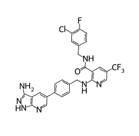 Nc1n[nH]c2ncc(-c3ccc(CNc4ncc(C(F)(F)F)cc4C(=O)NCc4ccc(F)c(Cl)c4)cc3)cc12